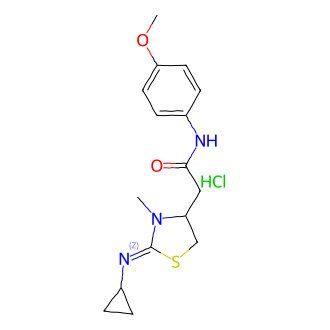 COc1ccc(NC(=O)CC2CS/C(=N\C3CC3)N2C)cc1.Cl